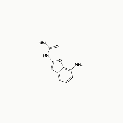 CC(C)(C)C(=O)Nc1cc2cccc(N)c2o1